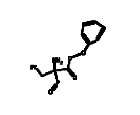 CC(C)CC(N)(P=O)C(=O)OOc1ccccc1